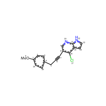 COc1ccc(CC#Cc2cnc3[nH]ccc3c2Cl)cc1